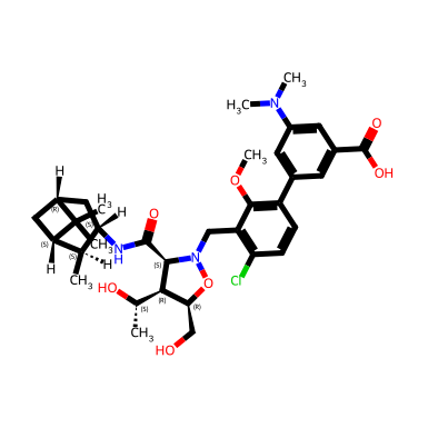 COc1c(-c2cc(C(=O)O)cc(N(C)C)c2)ccc(Cl)c1CN1O[C@@H](CO)[C@@H]([C@H](C)O)[C@H]1C(=O)N[C@H]1C[C@H]2C[C@@H]([C@@H]1C)C2(C)C